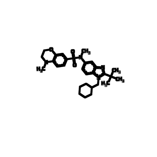 CN1CCOc2cc(S(=O)(=O)N(C)c3ccc4c(c3)nc(C(C)(C)C)n4CC3CCCCC3)ccc21